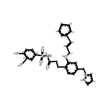 O=C(CCc1ccc(Cn2cccn2)cc1OCC=Cc1ccccc1)NS(=O)(=O)c1ccc(F)c(F)c1